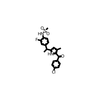 Cc1cc(C(C)c2ccc(NS(C)(=O)=O)c(F)c2)[nH]c1C(=O)c1ccc(Cl)cc1